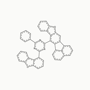 c1ccc(-c2nc(-c3cccc4oc5ccccc5c34)nc(-c3c4c(cc5oc6ccccc6c35)-c3cccc5cccc-4c35)n2)cc1